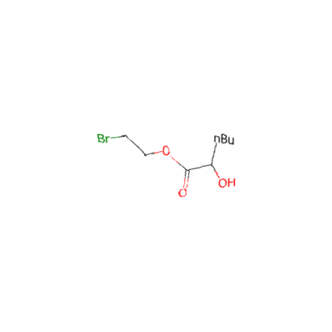 CCCCC(O)C(=O)OCCBr